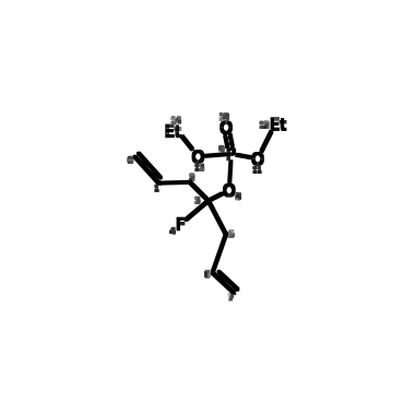 C=CCC(F)(CC=C)OP(=O)(OCC)OCC